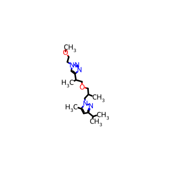 COCCn1cc(C(C)COCC(C)Cn2nc(C(C)C)cc2C)nn1